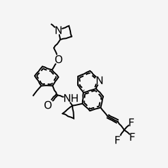 Cc1ccc(OCC2CCN2C)cc1C(=O)NC1(c2cc(C#CC(F)(F)F)cc3ncccc23)CC1